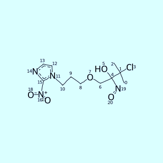 CC(C)(Cl)C(O)(COCCCn1ccnc1[N+](=O)[O-])N=O